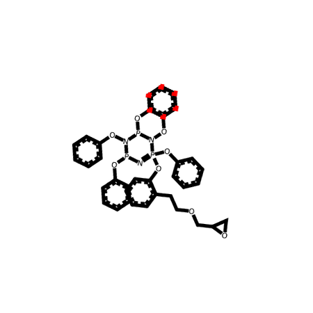 c1ccc(ON2P(Oc3ccccc3)N=P(Oc3ccccc3)(Oc3ccccc3CCOCC3CO3)N(Oc3ccccc3)P2Oc2ccccc2)cc1